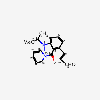 COC(C)Nc1cccc(/C=C/[C]=O)c1C(=O)N1C=CC=CC1